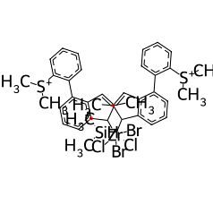 CC1=Cc2c(-c3ccccc3[S+](C)C)cccc2[CH]1[Zr]([Cl])([Cl])([Br])([Br])([CH]1C(C)=Cc2c(-c3ccccc3[S+](C)C)cccc21)[SiH](C)C